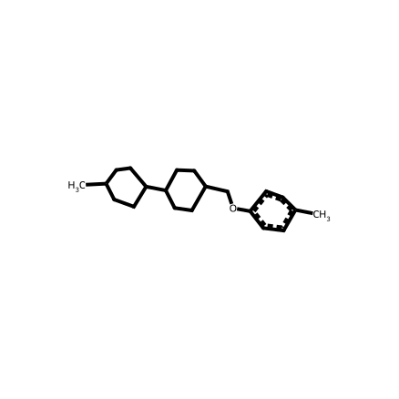 Cc1ccc(OCC2CCC(C3CCC(C)CC3)CC2)cc1